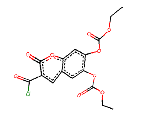 CCOC(=O)Oc1cc2cc(C(=O)Cl)c(=O)oc2cc1OC(=O)OCC